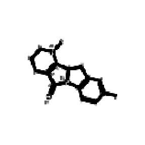 Cc1ccc2c(c1)CC1C3=C(CCCN3C)C(=O)N21